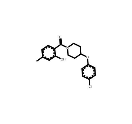 Cc1ccc(C(=O)N2CCC(Oc3ccc(Cl)cc3)CC2)c(O)c1